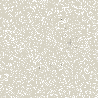 COc1ccc(/C=C\C(=O)N2CCC(O)CC2)cc1C(=O)N[C@H]1[C@@H](C(=O)Nc2ccc(F)c(C(F)(F)F)c2)[C@H]2CC[C@@H]1/C2=C\C(F)(F)F